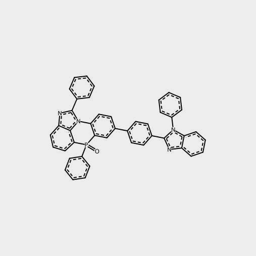 O=P1(c2ccccc2)c2cc(-c3ccc(-c4nc5ccccc5n4-c4ccccc4)cc3)ccc2-n2c(-c3ccccc3)nc3cccc1c32